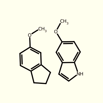 COc1ccc2[nH]ccc2c1.COc1ccc2c(c1)CCC2